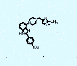 Cc1nc(CN2CCN(c3cccc4[nH]c(-c5ccc(C(C)(C)C)cc5)nc34)CC2)c[nH]1